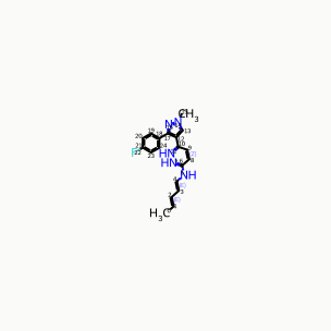 C/C=C/C=C/NC(=N)/C=C\C(=N)c1cn(C)nc1-c1ccc(F)cc1